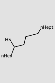 CCCCCCCCCCC(S)CCCCCC